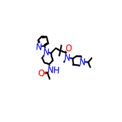 CC(=O)NC1CCN(c2ccccn2)C(CC(C)(C)C(=O)N(C)C2CCN(C(C)C)CC2)C1